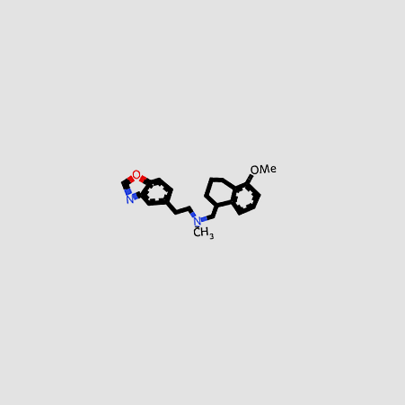 COc1cccc2c1CCCC2CN(C)CCc1ccc2ocnc2c1